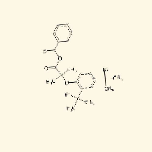 CCC(C)(C)c1ccc(OC(C)(C)C(=O)OC(=O)c2cc[c]cc2)c(C(C)(C)CC)c1